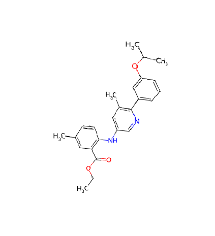 CCOC(=O)c1cc(C)ccc1Nc1cnc(-c2cccc(OC(C)C)c2)c(C)c1